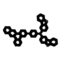 c1ccc2cc3c4ccc(-c5ccc(N(c6ccc7oc8ccccc8c7c6)c6ccc7oc8ccccc8c7c6)cc5)cc4c4ccccc4c3cc2c1